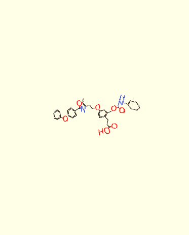 Cc1oc(-c2ccc(Oc3ccccc3)cc2)nc1CCOc1ccc(CCC(=O)O)c(COC(=O)NC2CCCCC2)c1